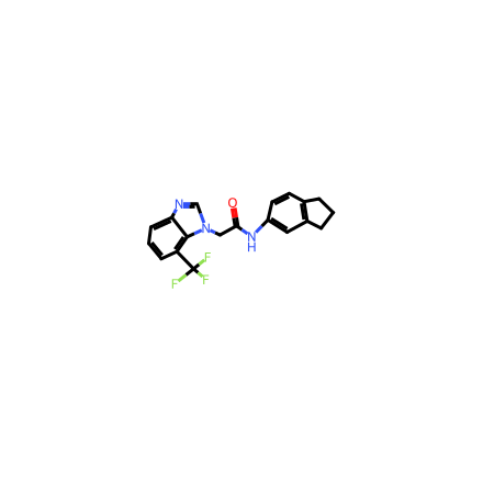 O=C(Cn1cnc2cccc(C(F)(F)F)c21)Nc1ccc2c(c1)CCC2